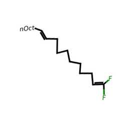 CCCCCCCCC=CCCCCCCCC=C(F)F